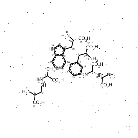 CC(C)[C@H](N)C(=O)O.C[C@H](N)C(=O)O.NCC(=O)O.N[C@@H](CS)C(=O)O.N[C@@H](Cc1c[nH]c2ccccc12)C(=O)O.N[C@@H](Cc1ccccc1)C(=O)O